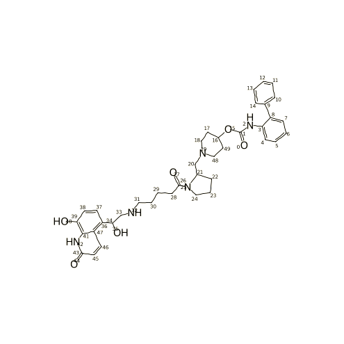 O=C(Nc1ccccc1-c1ccccc1)OC1CCN(CC2CCCN2C(=O)CCCCNCC(O)c2ccc(O)c3[nH]c(=O)ccc23)CC1